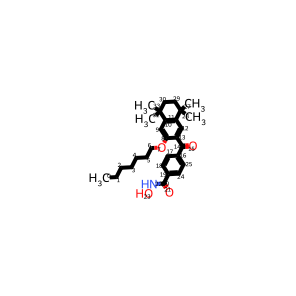 CCCCCCCOc1cc2c(cc1C(=O)c1ccc(C(=O)NO)cc1)C(C)(C)CCC2(C)C